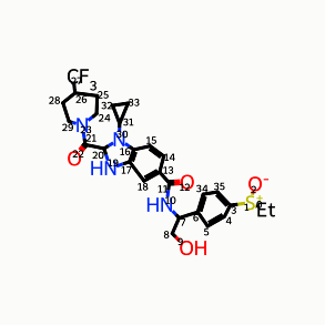 CC[S+]([O-])c1ccc(C(CO)NC(=O)c2ccc3c(c2)NC(C(=O)N2CCC(C(F)(F)F)CC2)N3C2CC2)cc1